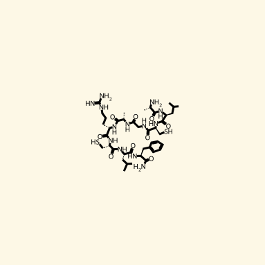 CC(C)C[C@H](NC(=O)[C@H](C)N)C(=O)N[C@@H](CS)C(=O)NCC(=O)N[C@@H](C)C(=O)N[C@@H](CCCNC(=N)N)C(=O)N[C@@H](CS)C(=O)N[C@@H](CC(C)C)C(=O)N[C@@H](Cc1ccccc1)C(N)=O